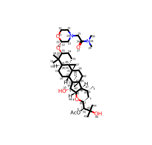 CC(=O)O[C@@H]([C@H]1C[C@@H](C)[C@H]2[C@H](O1)[C@H](O)[C@@]1(C)[C@@H]3CC[C@H]4C(C)(C)[C@@H](O[C@H]5CN(CC(=O)N(C)C)CCO5)CC[C@@]45C[C@@]35CC[C@]21C)C(C)(C)O